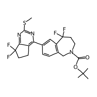 CSc1nc(-c2ccc3c(c2)C(F)(F)CCN(C(=O)OC(C)(C)C)C3)c2c(n1)C(F)(F)CC2